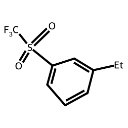 CCc1cccc(S(=O)(=O)C(F)(F)F)c1